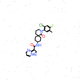 Cc1cc(N2CCCC3(CCC(NC(=O)c4cnn5cccnc45)CC3)C2=O)c(Cl)cc1F